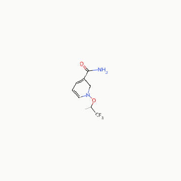 CC(ON1C=CC=C(C(N)=O)C1)C(F)(F)F